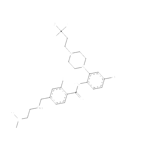 C[S+]([O-])CCNCc1ccc(C(=O)Nc2ccc(Cl)cc2N2CCN(CCC(F)(F)F)CC2)c(F)c1